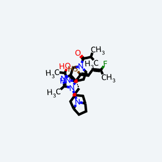 C/C(F)=C\C=C(/S)[C@H](CCN1C2CCC1CC(n1c(C)nc3c1CCN(C(=O)C(C)C)C3)C2)NC(C)O